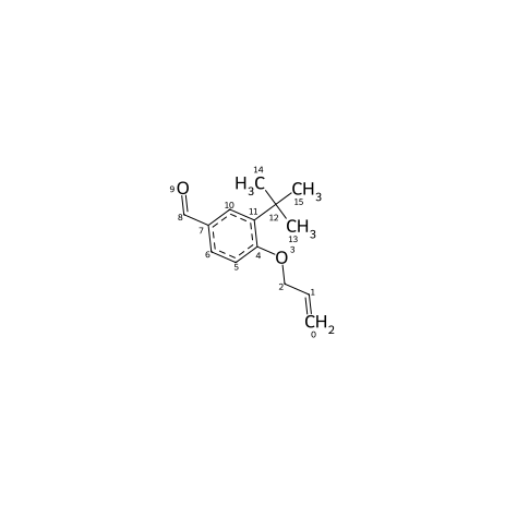 C=CCOc1ccc(C=O)cc1C(C)(C)C